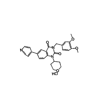 COc1ccc(Cn2c(=O)c3cc(-c4ccncc4)ccc3n(C3CCOCC3)c2=O)cc1OC.Cl